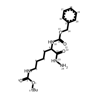 CC(C)(C)OC(=O)NCCCCC(NC(=O)OCc1ccccc1)C(=O)NN